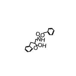 O=C(NCC(Cc1ccccc1)C(=O)O)OCc1ccccc1